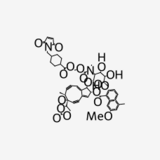 COc1cc(C)c2ccc(O)c(C(=O)O[C@@H]3C=C4C#C[C@]5(C6COC(=O)O6)O[C@]5(C)C#CC=C4[C@H]3O[C@H]3O[C@H](C)[C@H](O)[C@H](O)C3N(C)C(=O)OCOC(=O)C3CCC(CN4C(=O)C=CC4=O)CC3)c2c1